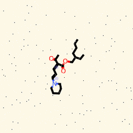 CCCCC(CC)COC(=O)/C(=C\C=C\N1CCCCC1)C(C)=O